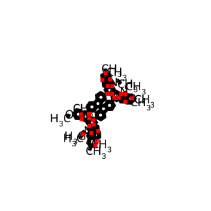 CCn1c2cc(C)ccc2c2ccc(N(c3ccc(OC)cc3)c3ccc4c(c3)C3(c5cc(N(c6ccc(OC)cc6)c6ccc7c8ccc(C)cc8n(CC)c7c6)ccc5-4)c4cc(N(c5ccc(OC)cc5)c5ccc6c7ccc(C)cc7n(CC)c6c5)ccc4-c4ccc(N(c5ccc(OC)cc5)c5ccc6c7ccc(C)cc7n(CC)c6c5)cc43)cc21